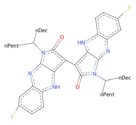 CCCCCCCCCCC(CCCCC)n1c2nc3cc(F)ccc3[nH]c-2c(-c2c3[nH]c4ccc(F)cc4nc-3n(C(CCCCC)CCCCCCCCCC)c2=O)c1=O